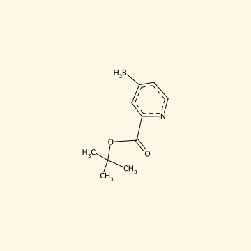 Bc1ccnc(C(=O)OC(C)(C)C)c1